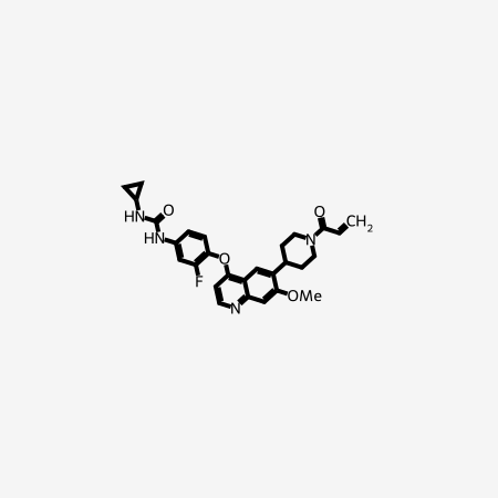 C=CC(=O)N1CCC(c2cc3c(Oc4ccc(NC(=O)NC5CC5)cc4F)ccnc3cc2OC)CC1